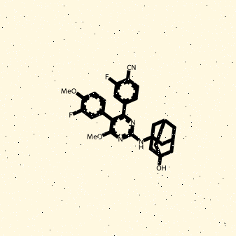 COc1ccc(-c2c(OC)nc(NC34CC5CC(CC(O)(C5)C3)C4)nc2-c2ccc(C#N)c(F)c2)cc1F